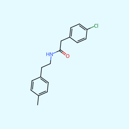 Cc1ccc(CCNC(=O)Cc2ccc(Cl)cc2)cc1